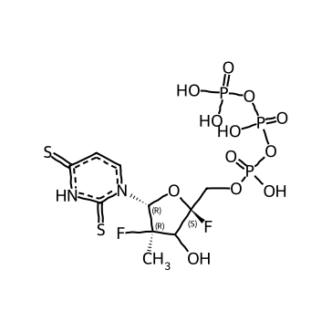 C[C@@]1(F)C(O)[C@@](F)(COP(=O)(O)OP(=O)(O)OP(=O)(O)O)O[C@H]1n1ccc(=S)[nH]c1=S